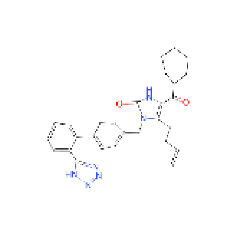 C=CCCc1c(C(=O)C2CCCCC2)[nH]c(=O)n1Cc1ccc(-c2ccccc2-c2nnn[nH]2)cc1